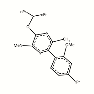 CCCC(CCC)Oc1nc(C)c(-c2ccc(C(C)C)cc2OC)nc1NC